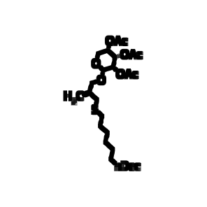 C=C(CO[C@H]1OC[C@@H](OC(C)=O)[C@H](OC(C)=O)[C@H]1OC(C)=O)CSCCCCCCCCCCCCCCCC